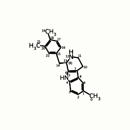 Cc1ccc2[nH]c3c(c2c1)CCN[C@@H]3Cc1ccc(C)c(C)c1